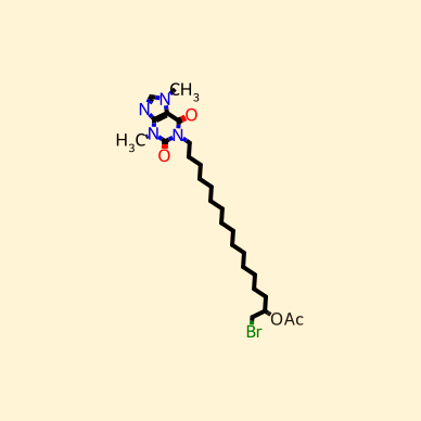 CC(=O)OC(CBr)CCCCCCCCCCCCCCCn1c(=O)c2c(ncn2C)n(C)c1=O